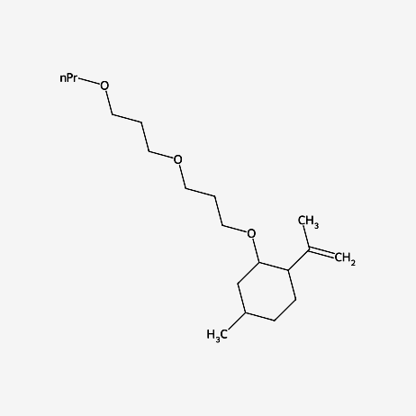 C=C(C)C1CCC(C)CC1OCCCOCCCOCCC